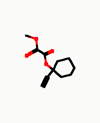 C#CC1(OC(=O)C(=O)OC)CCCCC1